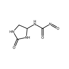 O=NC(=O)NC1CNC(=O)N1